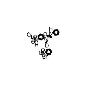 C=C(Nc1ccccc1)c1oc2ccc(NS(=O)(=O)CCOC)cc2[n+]1CCOC.O=S(=O)([O-])c1ccccc1Br